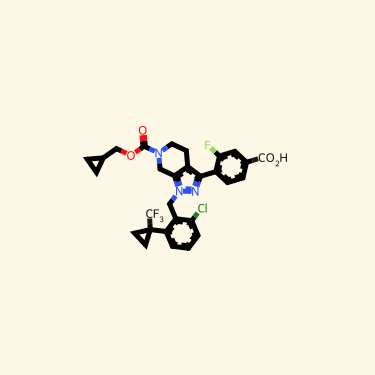 O=C(O)c1ccc(-c2nn(Cc3c(Cl)cccc3C3(C(F)(F)F)CC3)c3c2CCN(C(=O)OCC2CC2)C3)c(F)c1